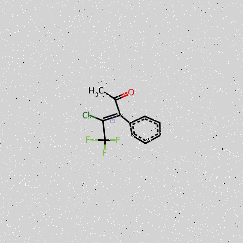 CC(=O)/C(=C(\Cl)C(F)(F)F)c1ccccc1